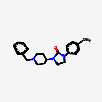 COc1ccc(N2CCN(C3CCN(Cc4ccccc4)CC3)C2=O)cc1